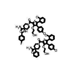 NC(=O)C1(NCc2ccc(F)cc2)CCN(C(=O)c2sc(-c3ccccc3Cl)c(-c3ccc(Cl)cc3)c2OCCO)CC1.NC(=O)C1(c2ccccc2)CCN(C(=O)c2sc(-c3ccccc3Cl)c(-c3ccc(Cl)cc3)c2OCCO)CC1